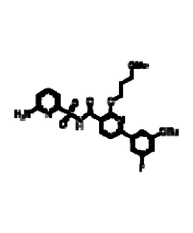 COCCCOc1nc(-c2cc(F)cc(OCC(C)C)c2)ccc1C(=O)NS(=O)(=O)c1cccc(N)n1